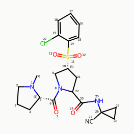 CN1CCC[C@H]1C(=O)N1C[C@H](S(=O)(=O)c2ccccc2Cl)CC1C(=O)NC1(C#N)CC1